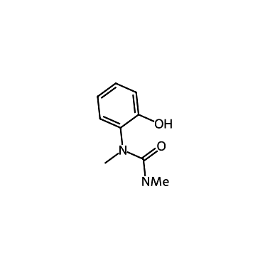 CNC(=O)N(C)c1ccccc1O